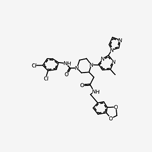 Cc1cc(N2CCN(C(=O)Nc3ccc(Cl)c(Cl)c3)CC2CC(=O)NCc2ccc3c(c2)OCO3)nc(-n2ccnc2)n1